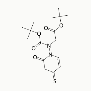 CC(C)(C)OC(=O)CN(C(=O)OC(C)(C)C)N1C=CC(=S)CC1=O